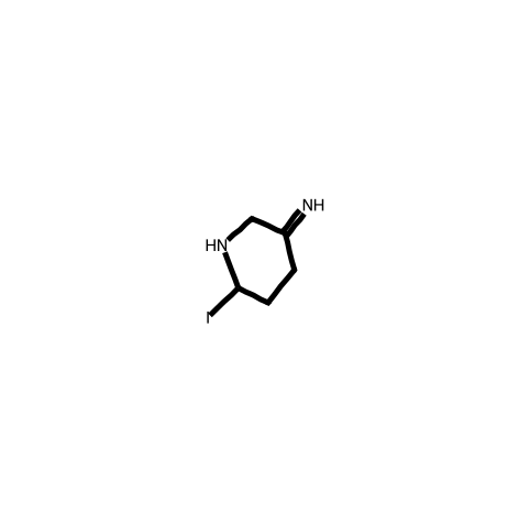 N=C1CCC(I)NC1